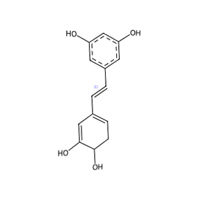 OC1=CC(/C=C/c2cc(O)cc(O)c2)=CCC1O